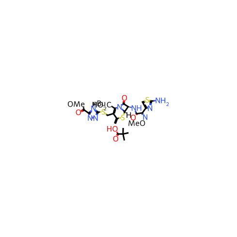 C=C1S[C@@H]2[C@H](NC(=O)/C(=N\OC)c3csc(N)n3)C(=O)N2C(C(=O)O)=C1CSc1nnc(C(=O)OC)n1CCCC.CC(C)(C)C(=O)O